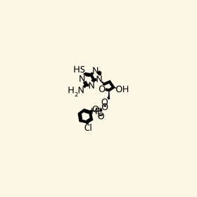 Nc1nc(S)c2ncn([C@H]3C[C@H](O)[C@@H](COO[PH](=O)Oc4cccc(Cl)c4)O3)c2n1